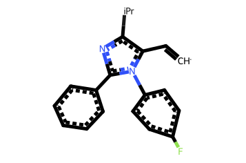 [CH]=Cc1c(C(C)C)nc(-c2ccccc2)n1-c1ccc(F)cc1